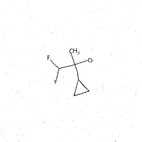 CC([O])(C(F)F)C1CC1